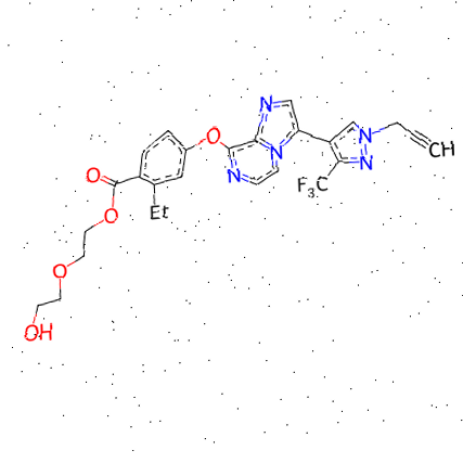 C#CCn1cc(-c2cnc3c(Oc4ccc(C(=O)OCCOCCO)c(CC)c4)nccn23)c(C(F)(F)F)n1